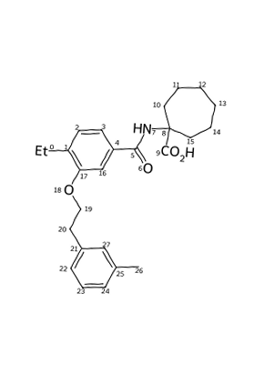 CCc1ccc(C(=O)NC2(C(=O)O)CCCCCC2)cc1OCCc1cccc(C)c1